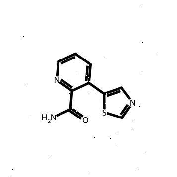 NC(=O)c1ncccc1-c1cncs1